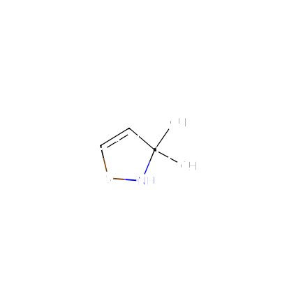 CC1(C)C=CSN1